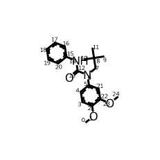 COc1ccc(N(CC(C)(C)C)C(=O)Nc2ccccc2)cc1OC